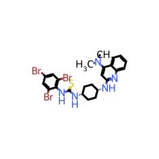 CN(C)c1cc(N[C@H]2CC[C@@H](NC(=S)Nc3c(Br)cc(Br)cc3Br)CC2)nc2ccccc12